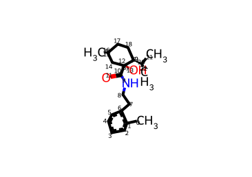 Cc1ccccc1CCNC(=O)[C@]1(O)C[C@H](C)CC[C@H]1C(C)C